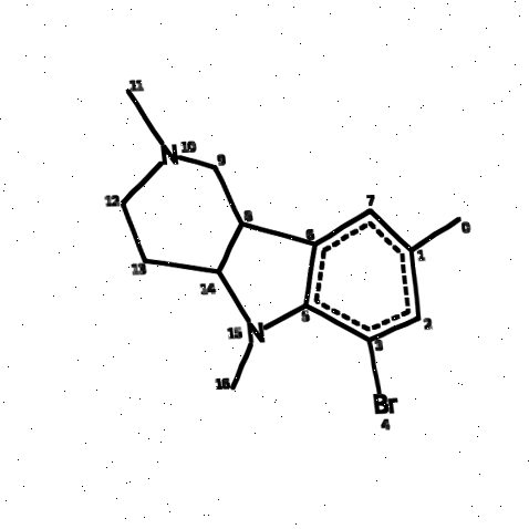 Cc1cc(Br)c2c(c1)C1CN(C)CCC1N2C